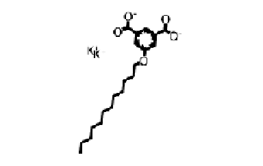 CCCCCCCCCCCCOc1cc(C(=O)[O-])cc(C(=O)[O-])c1.[K+].[K+]